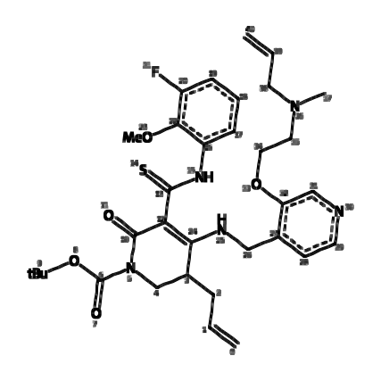 C=CCC1CN(C(=O)OC(C)(C)C)C(=O)C(C(=S)Nc2cccc(F)c2OC)=C1NCc1ccncc1OCCN(C)CC=C